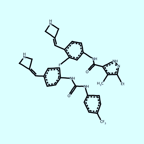 CCc1n[nH]c(C(=O)Nc2ccc(C=C3CNC3)c(F)c2)c1C.O=C(Nc1ccc(C=C2CNC2)cc1)Nc1ccc(C(F)(F)F)cc1